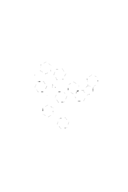 CC1(C)c2ccccc2-c2c(N3c4cc(-c5ccc6sc7ccccc7c6c5)cc5c4B(c4ccc6c(c4-5)-c4ccccc4C6(C)C)c4ccc5c(c43)-c3ccccc3C5(C)C)cccc21